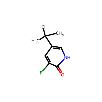 CC(C)(C)c1c[nH]c(=O)c(F)c1